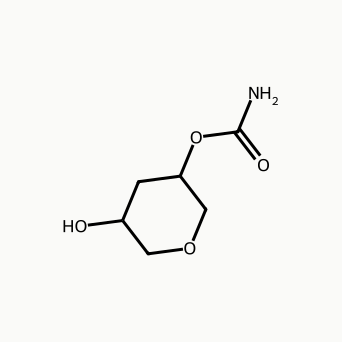 NC(=O)OC1COCC(O)C1